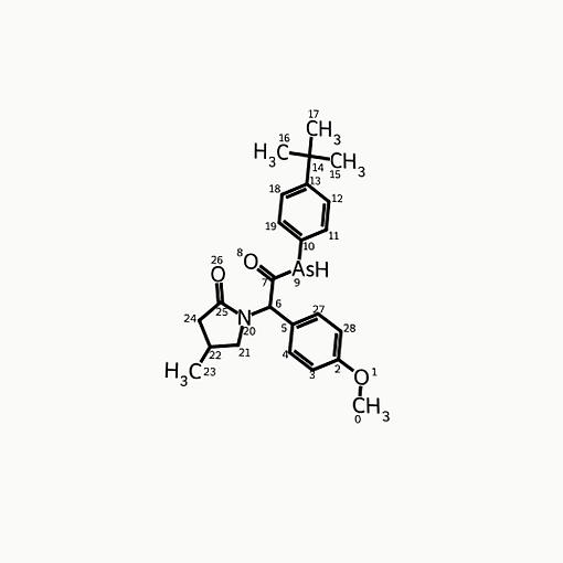 COc1ccc(C(C(=O)[AsH]c2ccc(C(C)(C)C)cc2)N2CC(C)CC2=O)cc1